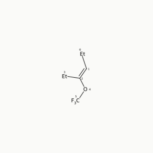 CC/C=C(\CC)OC(F)(F)F